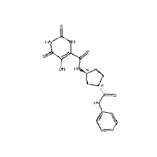 O=C(N[C@H]1CC[C@H](C(=O)Nc2ccccc2)C1)c1[nH]c(=O)[nH]c(=O)c1O